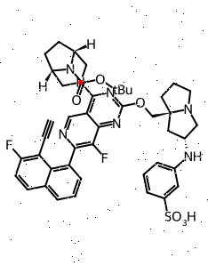 C#Cc1c(F)ccc2cccc(-c3ncc4c(N5C[C@H]6CC[C@@H](C5)N6C(=O)OC(C)(C)C)nc(OC[C@@]56CCCN5C[C@H](Nc5cccc(S(=O)(=O)O)c5)C6)nc4c3F)c12